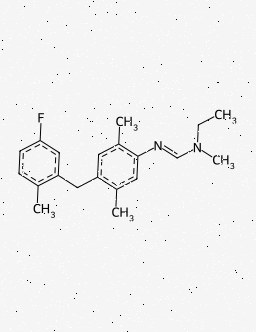 CCN(C)C=Nc1cc(C)c(Cc2cc(F)ccc2C)cc1C